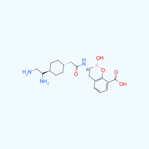 NCC(N)[C@H]1CC[C@H](CC(=O)N[C@H]2Cc3cccc(C(=O)O)c3OB2O)CC1